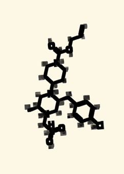 C=CCOC(=O)N1CCC(N2C[C@H](C)N(C[SH](=O)=O)C[C@@H]2Cc2ccc(Cl)cc2)CC1